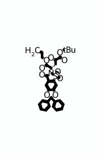 C=CCOC(=O)[C@H](CC(=O)C(=O)OC(C)(C)C)N1C(=O)c2cc3c(cc2S1(=O)=O)OC(c1ccccc1)(c1ccccc1)O3